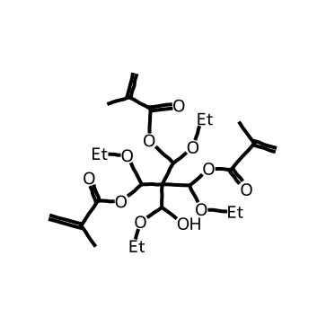 C=C(C)C(=O)OC(OCC)C(C(O)OCC)(C(OCC)OC(=O)C(=C)C)C(OCC)OC(=O)C(=C)C